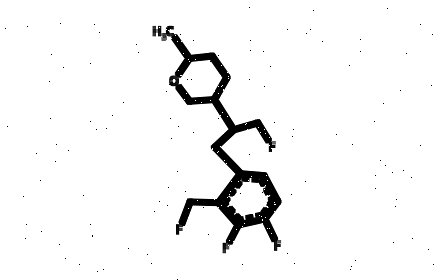 CC1CCC(C(CF)Cc2ccc(F)c(F)c2CF)CO1